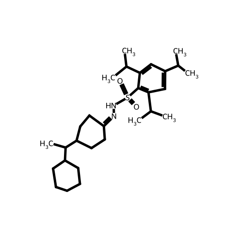 CC(C)c1cc(C(C)C)c(S(=O)(=O)NN=C2CCC(C(C)C3CCCCC3)CC2)c(C(C)C)c1